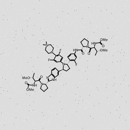 COC(=O)N[C@H](C(=O)N1CCC[C@H]1C(=O)Nc1ccc([C@@H]2CC[C@@H](c3ccc4nc([C@@H]5CCCN5C(=O)[C@@H](NC(=O)OC)[C@@H](C)OC)[nH]c4c3)N2c2cc(F)c(N3CC[Si](C)(C)CC3)c(F)c2)c(F)c1)[C@@H](C)OC